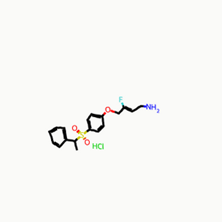 CC(c1ccccc1)S(=O)(=O)c1ccc(OCC(F)=CCN)cc1.Cl